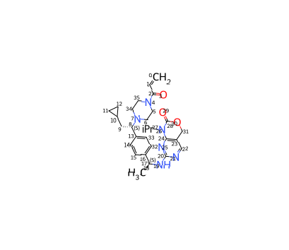 C=CC(=O)N1CCN([C@@H](CC2CC2)c2ccc([C@H](C)Nc3ncc4c(n3)N(C(C)C)C(=O)OC4)cc2)CC1